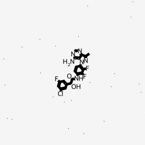 Cc1nn(-c2ccc(NC(=O)C(O)c3cc(F)cc(Cl)c3)c(F)c2F)c2c(N)ncnc12